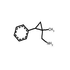 CC1(CN)CC1c1ccccc1